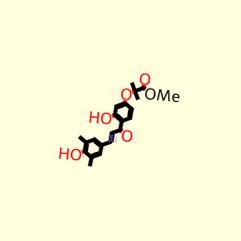 COC(=O)C(C)(C)Oc1ccc(C(=O)/C=C/c2cc(C)c(O)c(C)c2)c(O)c1